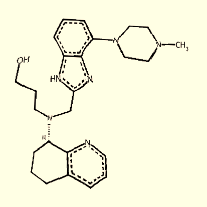 CN1CCN(c2cccc3[nH]c(CN(CCCO)[C@H]4CCCc5cccnc54)nc23)CC1